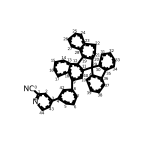 N#Cc1cc(-c2cccc(-c3cc4c(c5ccccc35)-c3c(ccc5ccccc35)C43c4ccccc4-c4ccccc43)c2)ccn1